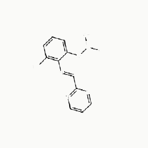 Cc1cccc(O[SiH](C)C)c1N=Cc1ncccn1.[H+]